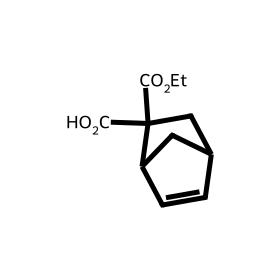 CCOC(=O)C1(C(=O)O)CC2C=CC1C2